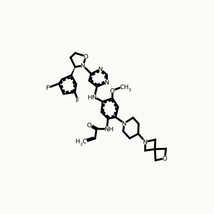 C=CC(=O)Nc1cc(Nc2cc(N3OCC[C@@H]3c3cc(F)cc(F)c3)ncn2)c(OC)cc1N1CCC(N2CC3(COC3)C2)CC1